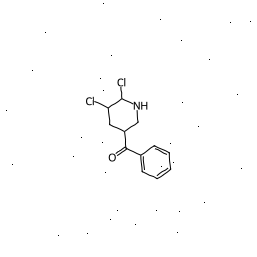 O=C(c1ccccc1)C1CNC(Cl)C(Cl)C1